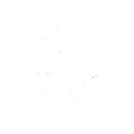 CCCC[C@]1(CC)CS(=O)(=O)c2cc(CNCCP(=O)(O)O)c(OC)cc2[C@@H](c2ccccc2)N1.O=C(O)C(F)(F)F